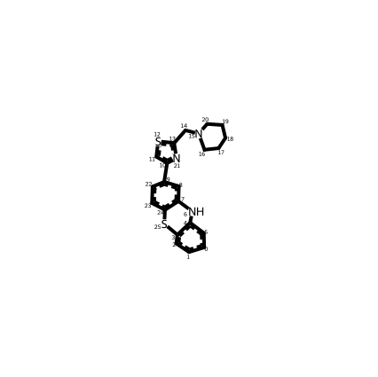 c1ccc2c(c1)Nc1cc(-c3csc(CN4CCCCC4)n3)ccc1S2